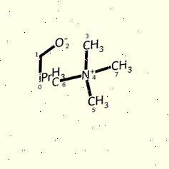 CC(C)C[O-].C[N+](C)(C)C